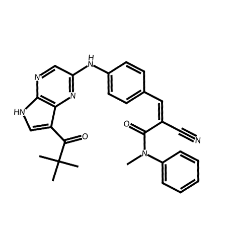 CN(C(=O)C(C#N)=Cc1ccc(Nc2cnc3[nH]cc(C(=O)C(C)(C)C)c3n2)cc1)c1ccccc1